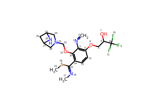 C=Nc1c(OCC(O)C(F)(F)F)ccc(/C(=N/C)SC)c1OCN1CC2CC(C1)N2